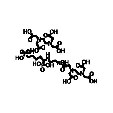 NCCNC(CCCCP(=O)(O)O)P(=O)(O)O.O=C(O)CN(CCN(CC(=O)O)CC(=O)O)CC(=O)O.O=C(O)CN(CCN(CC(=O)O)CC(=O)O)CC(=O)O